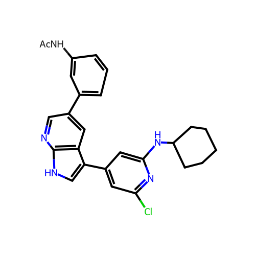 CC(=O)Nc1cccc(-c2cnc3[nH]cc(-c4cc(Cl)nc(NC5CCCCC5)c4)c3c2)c1